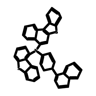 C1=CC(c2cccc3ccccc23)CC=C1N(c1cc2sc3ccccc3c2c2ccccc12)c1cccc2sc3ccccc3c12